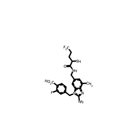 CCCc1nc2c(C)cc(CNC(=O)C(S)CCC(F)(F)F)cc2n1Cc1ccc(C(=O)O)c(F)c1